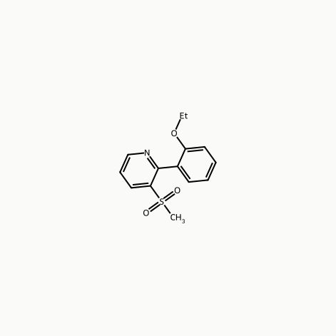 CCOc1ccccc1-c1ncccc1S(C)(=O)=O